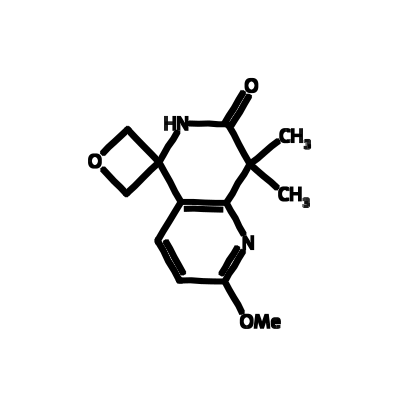 COc1ccc2c(n1)C(C)(C)C(=O)NC21COC1